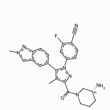 Cc1c(C(=O)N2CCC[C@@H](N)C2)nn(-c2ccc(C#N)c(F)c2)c1-c1ccc2nn(C)cc2c1